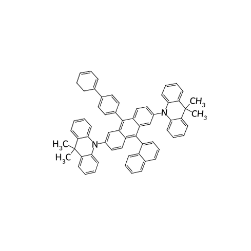 CC1(C)c2ccccc2N(c2ccc3c(-c4cccc5ccccc45)c4cc(N5c6ccccc6C(C)(C)c6ccccc65)ccc4c(-c4ccc(C5=CC=CCC5)cc4)c3c2)c2ccccc21